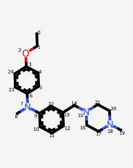 CCOc1ccc(N(C)c2cccc(CN3CCN(C)CC3)c2)cc1